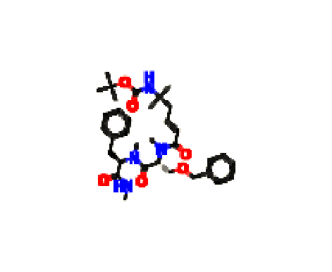 CNC(=O)[C@@H](Cc1ccccc1)N(C)C(=O)[C@@H](COCc1ccccc1)N(C)C(=O)/C=C/CC(C)(C)NC(=O)OC(C)(C)C